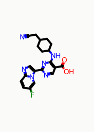 N#CCC1CCC(Nc2nc(-c3cnc4ccc(F)cn34)ncc2C(=O)O)CC1